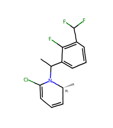 CC(c1cccc(C(F)F)c1F)N1C(Cl)=CC=C[C@H]1C